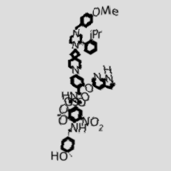 COc1ccc(CN2CCN(C3CC4(CCN(c5ccc(C(=O)NS(=O)(=O)c6cc([N+](=O)[O-])c(NC[C@H]7CC[C@](C)(O)CC7)c7c6OCO7)c(Oc6cnc7[nH]ccc7c6)c5)CC4)C3)[C@H](c3ccccc3C(C)C)C2)cc1